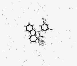 Cl.Cl.[CH2]=[Ti]([O]c1cc(C)cc(C(C)(C)C)c1)[C]1(C(C)(C)C)C=CC=C2C1=Cc1ccccc12